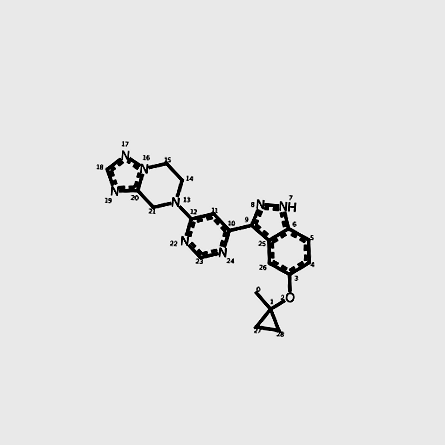 CC1(Oc2ccc3[nH]nc(-c4cc(N5CCn6ncnc6C5)ncn4)c3c2)CC1